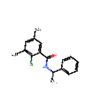 C[C@@H](NC(=O)c1cc([N+](=O)[O-])cc([N+](=O)[O-])c1Cl)c1ccccc1